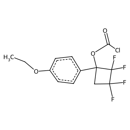 CCOc1ccc(C2(OC(=O)Cl)CC(F)(F)C2(F)F)cc1